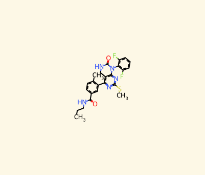 CCCNC(=O)c1ccc(C)c(-c2nc(SC)nc3c2CNC(=O)N3c2c(F)cccc2F)c1